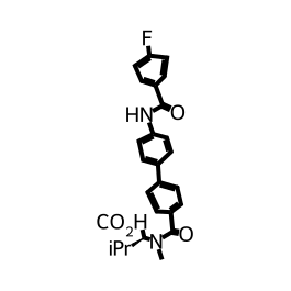 CC(C)[C@@H](C(=O)O)N(C)C(=O)c1ccc(-c2ccc(NC(=O)c3ccc(F)cc3)cc2)cc1